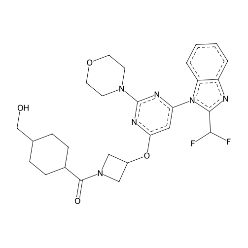 O=C(C1CCC(CO)CC1)N1CC(Oc2cc(-n3c(C(F)F)nc4ccccc43)nc(N3CCOCC3)n2)C1